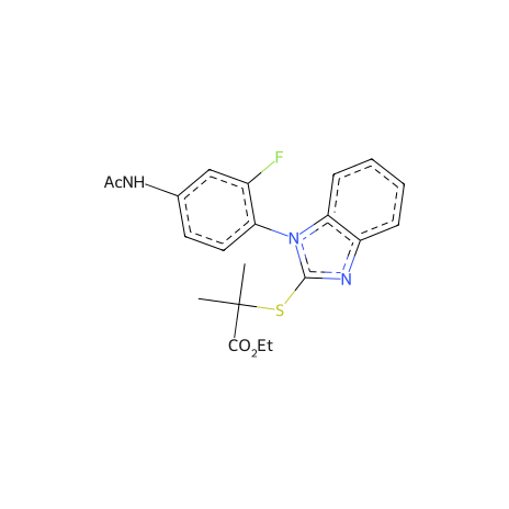 CCOC(=O)C(C)(C)Sc1nc2ccccc2n1-c1ccc(NC(C)=O)cc1F